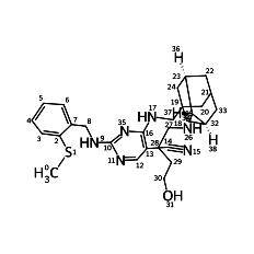 CSc1ccccc1CNc1ncc(C#N)c(NCC23CC4C[C@H](C2)[C@@H](NCCCCO)[C@@H](C4)C3)n1